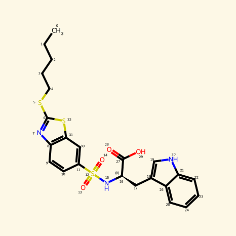 CCCCCSc1nc2ccc(S(=O)(=O)N[C@H](Cc3c[nH]c4ccccc34)C(=O)O)cc2s1